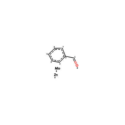 O=Cc1ccccc1.[Mn].[Zn]